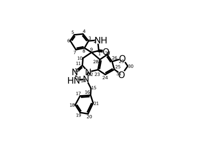 O=C1Nc2ccccc2C12CC1=NNN(Cc3ccccc3)N1c1cc3c(cc12)OCO3